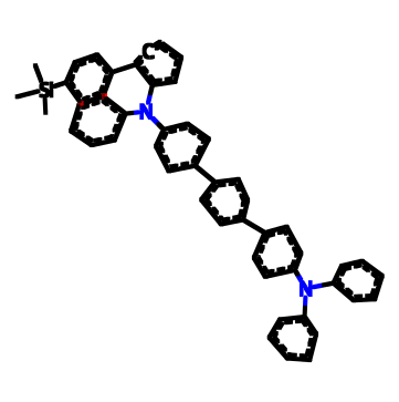 C[Si](C)(C)c1ccc(-c2ccccc2N(c2ccccc2)c2ccc(-c3ccc(-c4ccc(N(c5ccccc5)c5ccccc5)cc4)cc3)cc2)cc1